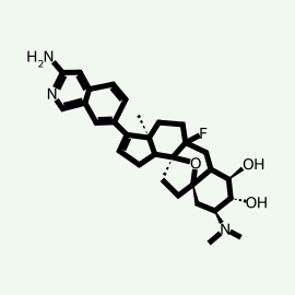 CN(C)[C@H]1C[C@@]23CC[C@]4(O2)C2CC=C(c5ccc6cc(N)ncc6c5)[C@@]2(C)CCC4(F)CC3[C@@H](O)[C@@H]1O